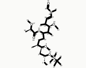 CC[C@H](C[C@H](OC)[C@@H](C)CCC(OC(=O)[C@@H](C)OC)C(C)[C@H](OC)C(C)/C=C/N(C)C=O)O[Si](C)(C)C(C)(C)C